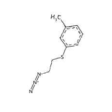 Cc1cccc(SCCN=[N+]=[N-])c1